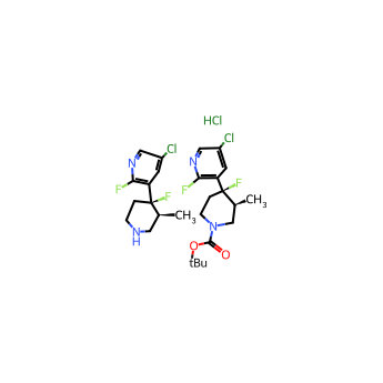 C[C@H]1CN(C(=O)OC(C)(C)C)CC[C@]1(F)c1cc(Cl)cnc1F.C[C@H]1CNCC[C@]1(F)c1cc(Cl)cnc1F.Cl